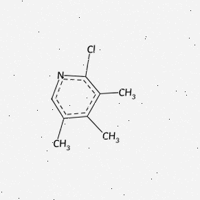 Cc1cnc(Cl)c(C)c1C